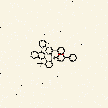 CC1(C)c2cccc(N(c3ccc(-c4ccccc4)cc3)c3ccccc3-c3ccccc3)c2-c2cc(-c3ccccc3)c3ccccc3c21